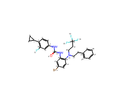 O=C(Nc1ccc(C2CC2)c(F)c1)Nc1cc(Br)ccc1N(CCc1ccccc1)CCC(F)(F)F